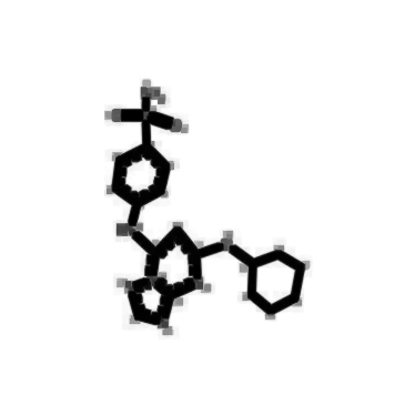 NS(=O)(=O)c1ccc(Nc2cc(OC3CCCCC3)nc3ncnn23)cc1